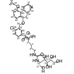 CC(C)N(CCCCNC(=O)N[C@@H](CO)[C@@H](O)[C@H](O)[C@H](O)CO)S(=O)(=O)c1ccc(Cl)c(COCCc2cnccc2-c2ccccc2OC2CC2)c1